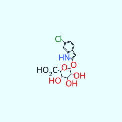 O=C(O)[C@H]1O[C@@H](Oc2cc3ccc(Cl)cc3[nH]2)[C@H](O)[C@@H](O)[C@@H]1O